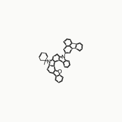 CC1(n2c3ccc4c5ccccc5oc4c3c3c4c5ccccc5n(-c5cc6c7c(cccc7c5)-c5ccccc5-6)c4ccc32)C=CC=CC1